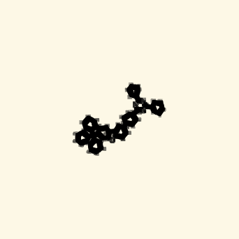 c1ccc(-c2nc(-c3ccccc3)nc(-c3ccc(-c4ccc5oc6cc7c(cc6c5c4)-c4ccccc4C7(c4ccccc4)c4ccccc4)cc3)n2)cc1